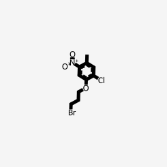 Cc1cc(Cl)c(OCCCBr)cc1[N+](=O)[O-]